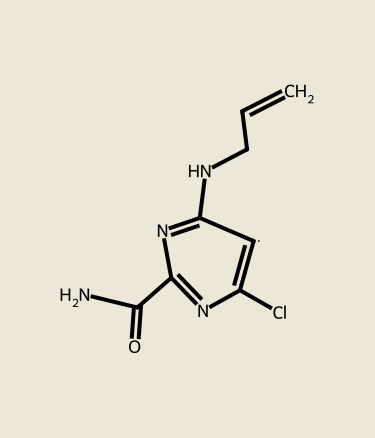 C=CCNc1[c]c(Cl)nc(C(N)=O)n1